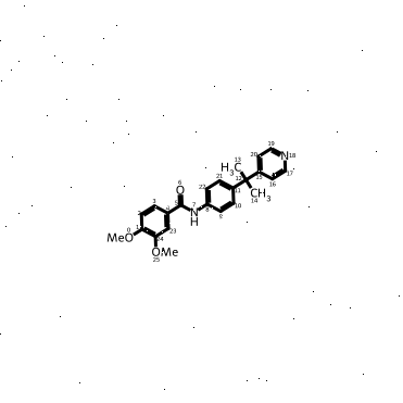 COc1ccc(C(=O)Nc2ccc(C(C)(C)c3ccncc3)cc2)cc1OC